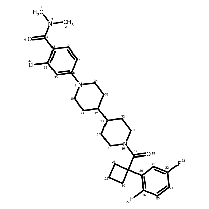 CN(C)C(=O)c1ccc(N2CCC(C3CCN(C(=O)C4(c5cc(F)ccc5F)CCC4)CC3)CC2)cc1Cl